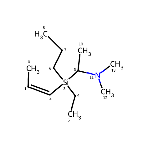 C/C=C\[Si](CC)(CCC)C(C)N(C)C